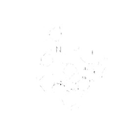 C=CC1=C(/C=C\CN(c2ccccc2)c2cccc(C)c2)c2ccc(N(C3=CCC=CC(C)=C3)C3=CC=CC=CC3)cc2C12C1=C(C=CCC1)c1ccccc12